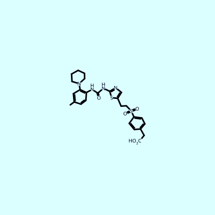 Cc1ccc(NC(=O)Nc2ncc(CCS(=O)(=O)c3ccc(CC(=O)O)cc3)s2)c(N2CCCCC2)c1